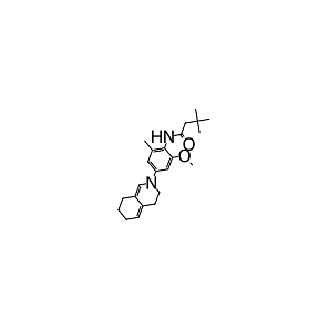 COc1cc(N2C=C3CCCC=C3CC2)cc(C)c1NC(=O)CC(C)(C)C